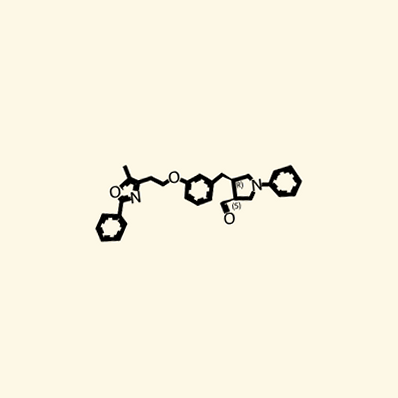 Cc1oc(-c2ccccc2)nc1CCOc1cccc(C[C@H]2CN(c3ccccc3)C[C@H]2C=O)c1